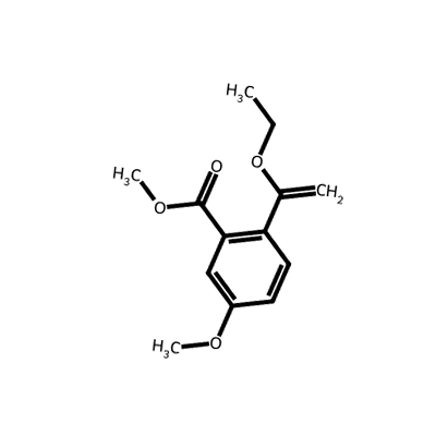 C=C(OCC)c1ccc(OC)cc1C(=O)OC